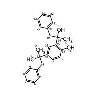 CC(O)(Cc1ccccc1)c1ccc(O)c(C(C)(O)Cc2ccccc2)c1